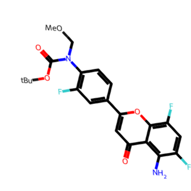 COCN(C(=O)OC(C)(C)C)c1ccc(-c2cc(=O)c3c(N)c(F)cc(F)c3o2)cc1F